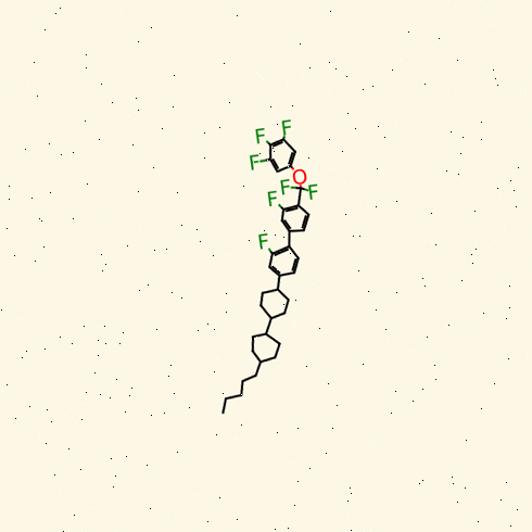 CCCCCC1CCC(C2CCC(c3ccc(-c4ccc(C(F)(F)Oc5cc(F)c(F)c(F)c5)c(F)c4)c(F)c3)CC2)CC1